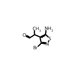 CC(C=O)c1c(Br)nsc1N